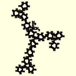 CC1(C)c2cc(-c3ccc4c(c3)c3ccccc3n4-c3ccccc3)ccc2-c2ccc(N(c3ccc(-c4ccc(-c5ccc6c(c5)c5ccccc5n6-c5ccccc5)cc4)cc3)c3ccc(-c4ccc5c6ccccc6n(-c6ccccc6)c5c4)cc3)cc21